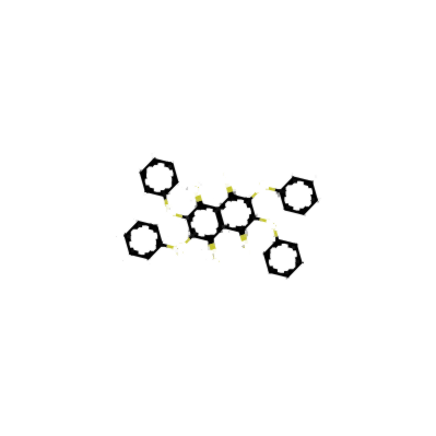 S=c1c(Sc2ccccc2)c(Sc2ccccc2)c(=S)c2c(=S)c(Sc3ccccc3)c(Sc3ccccc3)c(=S)c1=2